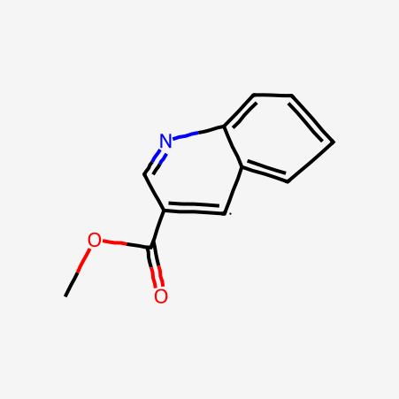 COC(=O)c1[c]c2ccccc2nc1